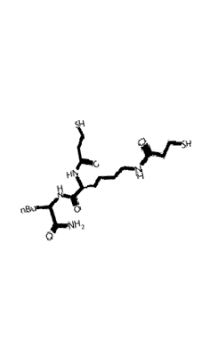 CCCCC(NC(=O)[C@H](CCCCNC(=O)CCS)NC(=O)CCS)C(N)=O